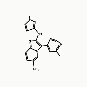 Cc1cc(-c2c(Nc3cc[nH]n3)nc3ccc(N)cn23)ccn1